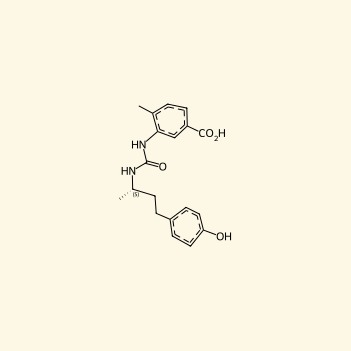 Cc1ccc(C(=O)O)cc1NC(=O)N[C@@H](C)CCc1ccc(O)cc1